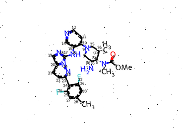 COC(=O)N(C)[C@@H]1[C@H](N)CN(c2ccncc2Nc2ncc3ccc(-c4c(F)cc(C)cc4F)nn23)C[C@@H]1C